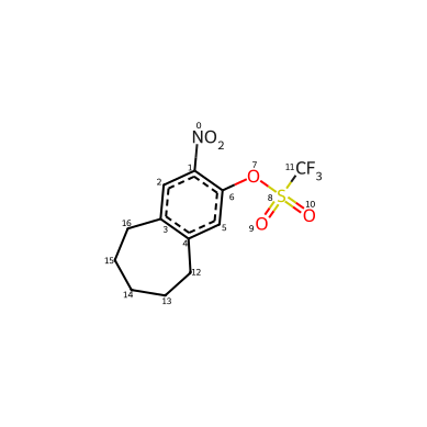 O=[N+]([O-])c1cc2c(cc1OS(=O)(=O)C(F)(F)F)CCCCC2